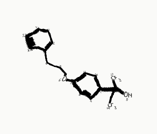 OC(c1ccc(OCCc2ccccc2)cc1)(C(F)(F)F)C(F)(F)F